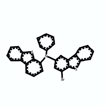 Brc1cc(N(c2ccccc2)c2cccc3c2sc2ccccc23)cc2c1sc1ccccc12